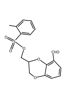 Cc1ccccc1S(=O)(=O)OCC1COc2cccc(C=O)c2O1